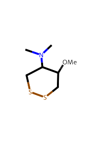 COC1CSSCC1N(C)C